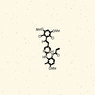 C=CC(=O)Nc1ccc(OC)c(C)c1Nc1ncc(/C=C(\F)c2c(Cl)c(OC)cc(OC)c2Cl)cn1